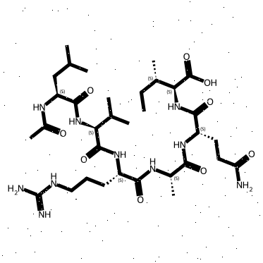 CC[C@H](C)[C@H](NC(=O)[C@H](CCC(N)=O)NC(=O)[C@H](C)NC(=O)[C@H](CCCNC(=N)N)NC(=O)[C@@H](NC(=O)[C@H](CC(C)C)NC(C)=O)C(C)C)C(=O)O